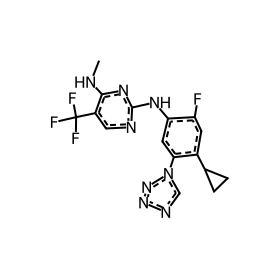 CNc1nc(Nc2cc(-n3cnnn3)c(C3CC3)cc2F)ncc1C(F)(F)F